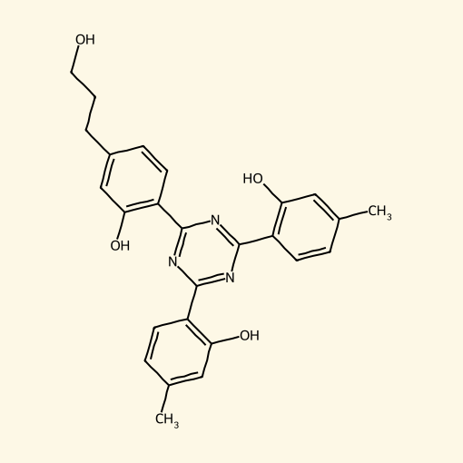 Cc1ccc(-c2nc(-c3ccc(C)cc3O)nc(-c3ccc(CCCO)cc3O)n2)c(O)c1